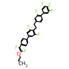 C=CCO/C(F)=C(\F)c1ccc(-c2cc(F)c(CCc3ccc(-c4cc(F)c(F)c(F)c4)c(F)c3)c(F)c2)cc1